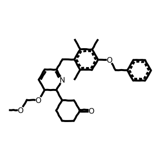 COCOC1C=CC(Cc2c(C)cc(OCc3ccccc3)c(C)c2C)=NC1C1CCCC(=O)C1